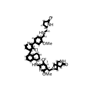 COc1cc(-c2nccc(-c3cccc4c3CCC[C@@H]4Nc3nc(OC)c(CN4CC5(CNC(=O)C5)C4)cc3C(F)(F)F)c2Cl)ccc1CNC[C@@H]1CCC(=O)N1